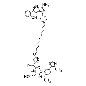 Cc1ncsc1-c1ccc(C(C)NC(=O)[C@@H]2C[C@@H](O)CN2C(=O)C(c2cc(OCCCCCCCCCCCN3CCC(n4nc(N)c5nnc(-c6ccccc6O)cc54)CC3)no2)C(C)C)cc1